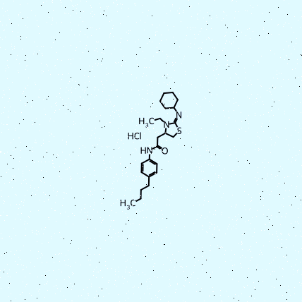 CCCCc1ccc(NC(=O)CC2CSC(=NC3CCCCC3)N2CC)cc1.Cl